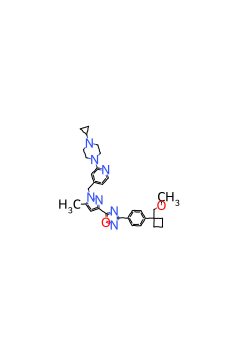 COCC1(c2ccc(-c3noc(-c4cc(C)n(Cc5ccnc(N6CCN(C7CC7)CC6)c5)n4)n3)cc2)CCC1